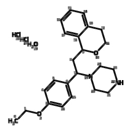 CCOc1ccc(C(CC2OCCc3ccccc32)N2CCNCC2)cc1.Cl.Cl.O